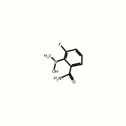 CN(O)c1c(F)cccc1C(N)=O